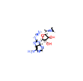 [N-]=[N+]=Nc1nc2c(N)ncnc2n1[C@@H]1O[C@H](CN2CC2)C(O)[C@@H]1O